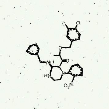 CC(OCc1ccc(Cl)c(Cl)c1)C(=O)C1C(NCc2ccccc2)NCCN1c1ccccc1[N+](=O)[O-]